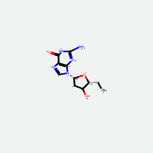 CC(C)(C)C[C@H]1O[C@@H](n2cnc3c(=O)[nH]c(N)nc32)CC1O